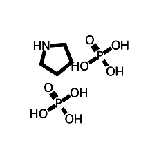 C1CCNC1.O=P(O)(O)O.O=P(O)(O)O